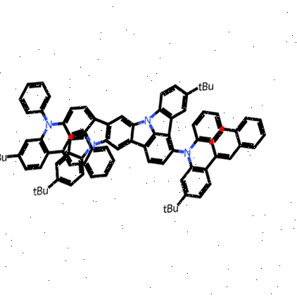 CC(C)(C)c1ccc(-c2ccc3ccccc3c2)c(N(c2ccccc2)c2ccc3c4cc5c(cc4n4c6ccc(C(C)(C)C)cc6c2c34)c2ccc(N(c3ccccc3)c3cc(C(C)(C)C)ccc3-c3ccc4ccccc4c3)c3c4cc(C(C)(C)C)ccc4n5c23)c1